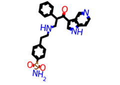 NS(=O)(=O)c1ccc(CCNCC(C(=O)c2c[nH]c3ccncc23)c2ccccc2)cc1